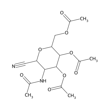 CC(=O)NC1C(C#N)OC(COC(C)=O)C(OC(C)=O)C1OC(C)=O